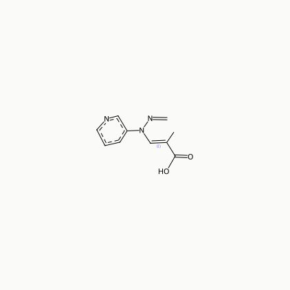 C=NN(/C=C(\C)C(=O)O)c1cccnc1